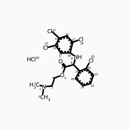 CN(C)CCOC(=O)C(Nc1cc(Cl)c(Cl)cc1Cl)c1ccccc1Cl.Cl